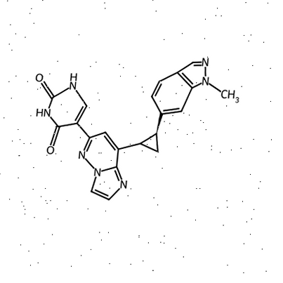 Cn1ncc2ccc([C@H]3CC3c3cc(-c4c[nH]c(=O)[nH]c4=O)nn4ccnc34)cc21